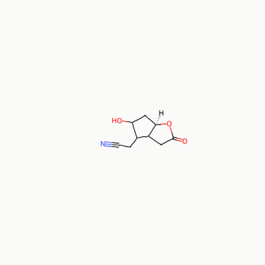 N#CCC1C(O)C[C@H]2OC(=O)CC12